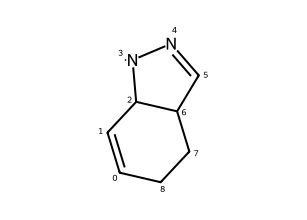 C1=CC2[N]N=CC2CC1